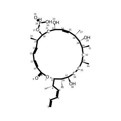 C=C/C=C\[C@H](C)[C@@H]1OC(=O)/C=C\C=C\[C@@H](C)[C@@H](O[PH](=O)O)C[C@H](O)/C=C\[C@H](C)[C@H](O)[C@@H](C)C[C@@H](C)CC[C@@H](O)[C@@H]1C